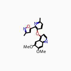 COc1cc2nccc(Oc3ccc(C)nc3-c3cc(C)no3)c2cc1OC